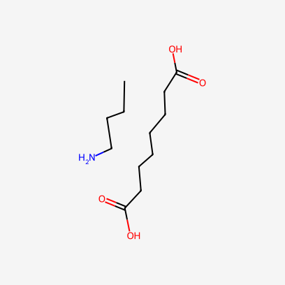 CCCCN.O=C(O)CCCCCCC(=O)O